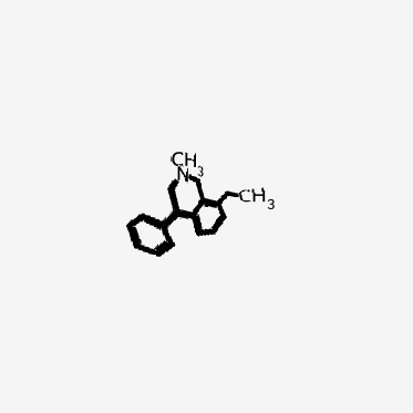 CCc1cccc2c1CN(C)CC2c1ccccc1